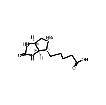 Br.O=C(O)CCCC[C@@H]1SC[C@@H]2NC(=O)N[C@@H]21